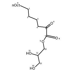 CCCCCCCCCCCCC(=O)C(=O)OCC(O)CO